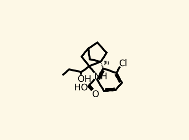 CCC(O)C1(NC(=O)O)CC2CC[C@]1(c1ccccc1Cl)C2